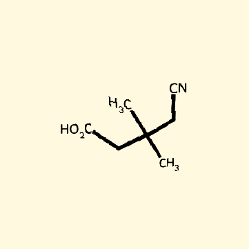 CC(C)(CC#N)CC(=O)O